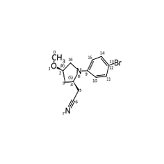 CO[C@@H]1C[C@H](CC#N)N(c2ccc(Br)cc2)C1